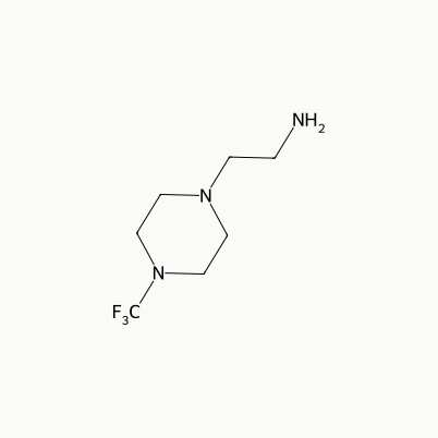 NCCN1CCN(C(F)(F)F)CC1